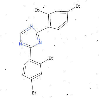 CCc1ccc(-c2ncnc(-c3ccc(CC)cc3CC)n2)c(CC)c1